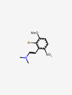 COc1ccc([N+](=O)[O-])c(/C=C/N(C)C)c1Br